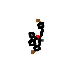 CC(C)(C)[Si](OC(CCCc1ccc(Br)cc1)CCCc1ccc(Br)cc1)(c1ccccc1)c1ccccc1